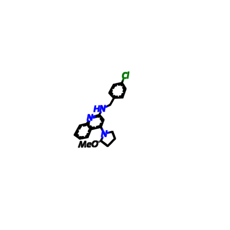 CO[C@H]1CCCN1c1cc(NCc2ccc(Cl)cc2)nc2ccccc12